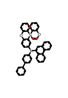 c1ccc(-c2ccc(N(c3ccc4c(c3)[Si]3(c5ccccc5Oc5ccccc53)c3ccccc3O4)c3cc4ccccc4c4ccccc34)cc2)cc1